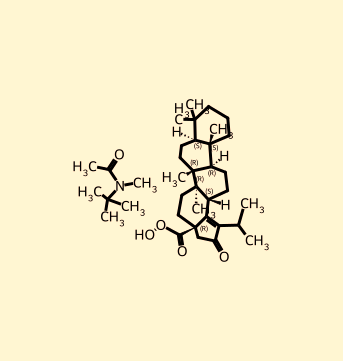 CC(=O)N(C)C(C)(C)C.CC(C)C1=C2[C@H]3CC[C@@H]4[C@@]5(C)CCCC(C)(C)[C@@H]5CC[C@@]4(C)[C@]3(C)CC[C@@]2(C(=O)OO)CC1=O